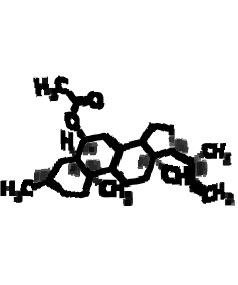 C=C[C@@H](C)[C@H]1CCC2C3C[C@H](OC(C)=O)[C@@H]4C[C@H](C)CC[C@]4(C)C3CC[C@@]21C